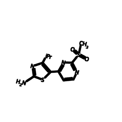 CC(C)c1nc(N)sc1-c1ccnc(S(C)(=O)=O)n1